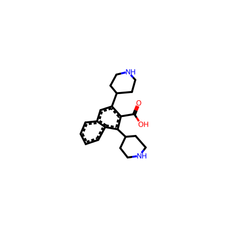 O=C(O)c1c(C2CCNCC2)cc2ccccc2c1C1CCNCC1